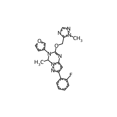 CC1N(c2ccoc2)C(OCc2ncnn2C)=Nc2cc(-c3ccccc3F)nn21